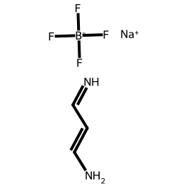 F[B-](F)(F)F.N=CC=CN.[Na+]